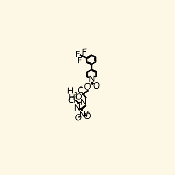 CC(O)(COC(=O)N1CC=C(c2cccc(C(F)(F)F)c2)CC1)Cn1cc([N+](=O)[O-])nc1Cl